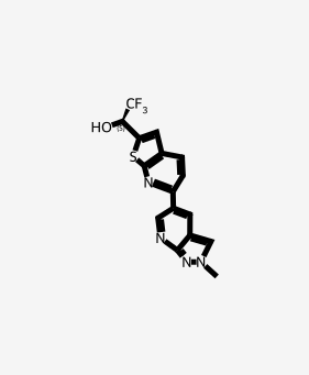 Cn1cc2cc(-c3ccc4cc([C@@H](O)C(F)(F)F)sc4n3)cnc2n1